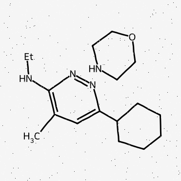 C1COCCN1.CCNc1nnc(C2CCCCC2)cc1C